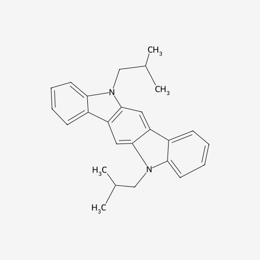 CC(C)Cn1c2ccccc2c2cc3c(cc21)c1ccccc1n3CC(C)C